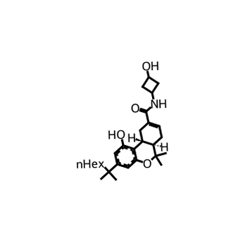 CCCCCCC(C)(C)c1cc(O)c2c(c1)OC(C)(C)[C@@H]1CC=C(C(=O)NC3CC(O)C3)C[C@@H]21